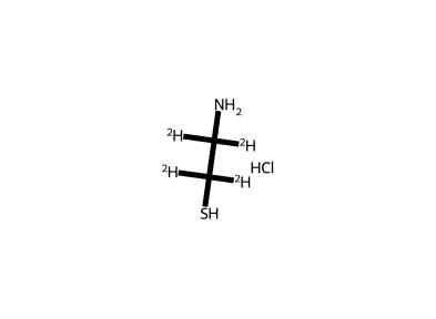 Cl.[2H]C([2H])(N)C([2H])([2H])S